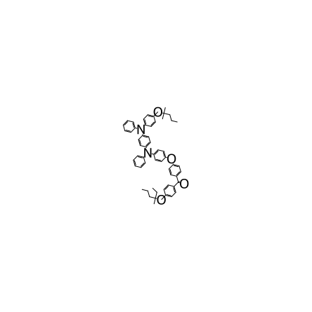 CCCC(C)(C)Oc1ccc(N(c2ccccc2)c2ccc(N(c3ccccc3)c3ccc(Oc4ccc(C(=O)c5ccc(OC(C)(CC)CCC)cc5)cc4)cc3)cc2)cc1